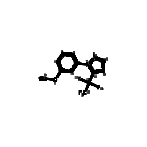 CC(C)(C)Oc1cccc(-n2nnnc2C(F)(F)C(F)(F)F)c1